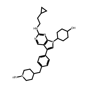 CCCN1CCC(Cc2ccc(-c3cn(C4CCC(O)CC4)c4nc(NCCC5CC5)ncc34)cc2)CC1